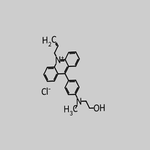 C=CC[n+]1c2ccccc2c(-c2ccc(N(C)CCO)cc2)c2ccccc21.[Cl-]